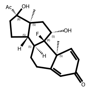 CC(=O)[C@@]1(O)CC[C@H]2[C@@H]3CCC4=CC(=O)C=C[C@]4(C)[C@@]3(F)[C@@H](O)C[C@@]21C